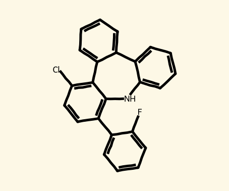 Fc1ccccc1-c1ccc(Cl)c2c1Nc1ccccc1-c1ccccc1-2